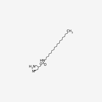 CCCCCCCCCCCCCCCCCCNC(=O)OCC(CN)CC#N